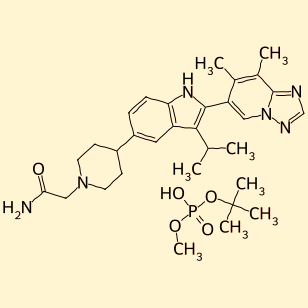 COP(=O)(O)OC(C)(C)C.Cc1c(-c2[nH]c3ccc(C4CCN(CC(N)=O)CC4)cc3c2C(C)C)cn2ncnc2c1C